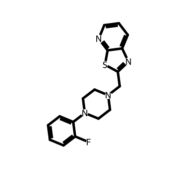 Fc1ccccc1N1CCN(Cc2nc3cccnc3s2)CC1